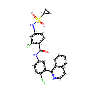 O=C(Nc1ccc(Cl)c(-c2nccc3ccccc23)c1)c1ccc(NS(=O)(=O)C2CC2)cc1Cl